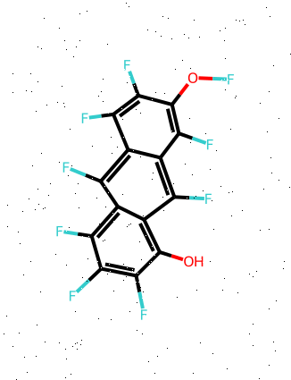 Oc1c(F)c(F)c(F)c2c(F)c3c(F)c(F)c(OF)c(F)c3c(F)c12